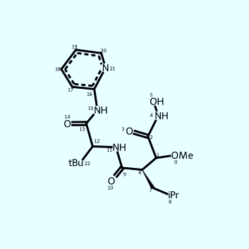 COC(C(=O)NO)[C@@H](CC(C)C)C(=O)NC(C(=O)Nc1ccccn1)C(C)(C)C